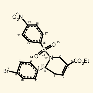 CCOC(=O)C1=CC[C@H](c2ccc(Br)cc2)N(S(=O)(=O)c2ccc([N+](=O)[O-])cc2)C1